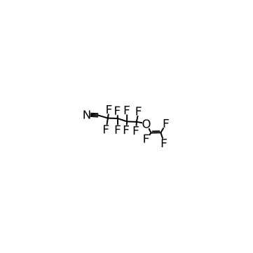 N#CC(F)(F)C(F)(F)C(F)(F)C(F)(F)OC(F)=C(F)F